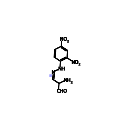 NC(C=O)/C=N\Nc1ccc([N+](=O)[O-])cc1[N+](=O)[O-]